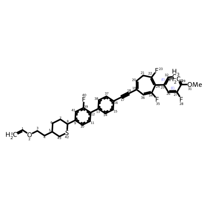 C=COCCC1CCC(c2ccc(-c3ccc(C#CC4=CCC(F)=C(C(/C=C(/F)C(=C)OC)=C/C)C(F)=C4)cc3)c(F)c2)SC1